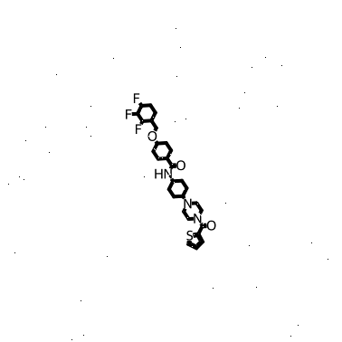 O=C(NC1CCC(N2CCN(C(=O)c3cccs3)CC2)CC1)C1CCC(OCC2CCC(F)C(F)C2F)CC1